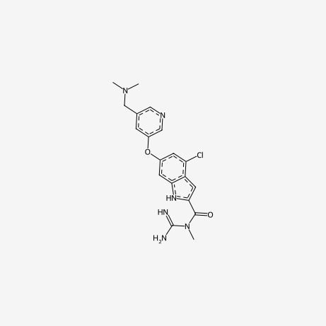 CN(C)Cc1cncc(Oc2cc(Cl)c3cc(C(=O)N(C)C(=N)N)[nH]c3c2)c1